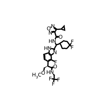 COC[C@H](C(=O)NCC(F)(F)F)c1ccc2[nH]c(C(NC(=O)c3nonc3C3CC3)C3CCC(F)(F)CC3)nc2c1F